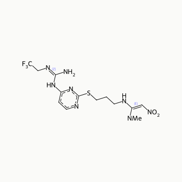 CN/C(=C\[N+](=O)[O-])NCCCSc1nccc(N/C(N)=N\CC(F)(F)F)n1